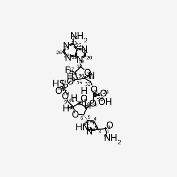 NC(=O)c1cc([C@@H]2O[C@@H]3COP(=O)(S)O[C@H]4[C@@H](F)[C@H](n5cnc6c(N)ncnc65)O[C@@H]4COP(=O)(O)O[C@@H]2[C@@H]3O)[nH]n1